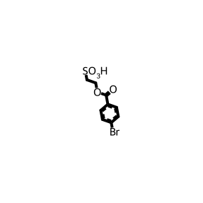 O=C(OCCS(=O)(=O)O)c1ccc(Br)cc1